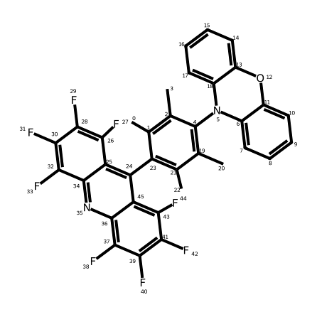 Cc1c(C)c(N2c3ccccc3Oc3ccccc32)c(C)c(C)c1-c1c2c(F)c(F)c(F)c(F)c2nc2c(F)c(F)c(F)c(F)c12